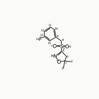 CC1(C)CC(S(=O)(=O)Cc2cccc(F)c2)=NO1